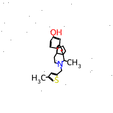 Cc1csc(CN2CCC34CCCC3(CCc3cc(O)ccc34)C2C)c1